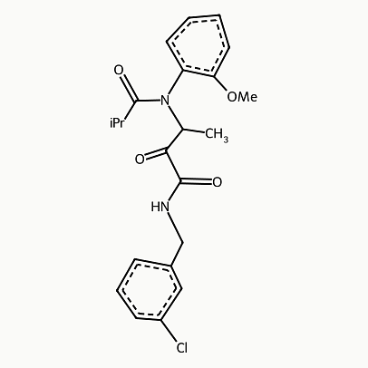 COc1ccccc1N(C(=O)C(C)C)C(C)C(=O)C(=O)NCc1cccc(Cl)c1